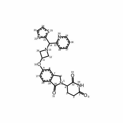 O=C1CCC(N2Cc3cc(OC4CN(C(c5ccccn5)c5nccs5)C4)ccc3C2=O)C(=O)N1